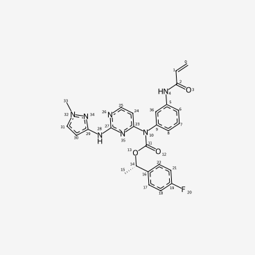 C=CC(=O)Nc1cccc(N(C(=O)O[C@@H](C)c2ccc(F)cc2)c2ccnc(Nc3ccn(C)n3)n2)c1